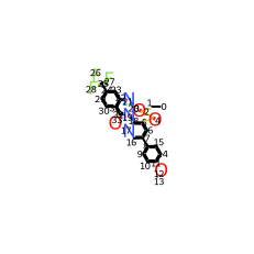 CCS(=O)(=O)c1cc(-c2ccc(OC)cc2)cnc1-n1cnc2cc(C(F)(F)F)ccc2c1=O